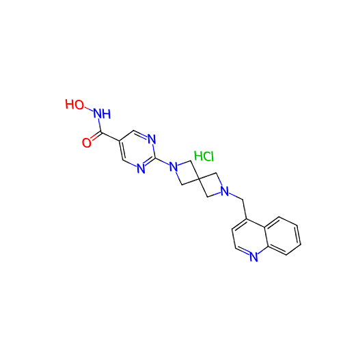 Cl.O=C(NO)c1cnc(N2CC3(CN(Cc4ccnc5ccccc45)C3)C2)nc1